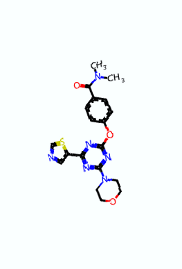 CN(C)C(=O)c1ccc(Oc2nc(-c3cncs3)nc(N3CCOCC3)n2)cc1